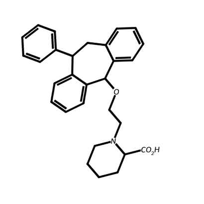 O=C(O)C1CCCCN1CCOC1c2ccccc2CC(c2ccccc2)c2ccccc21